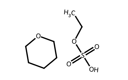 C1CCOCC1.CCOS(=O)(=O)O